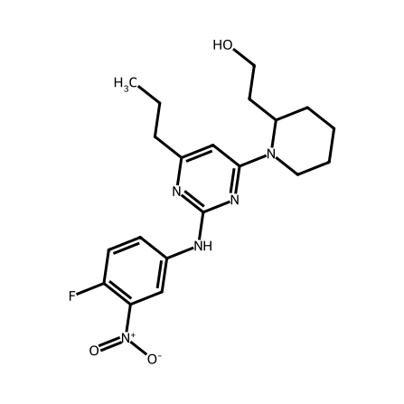 CCCc1cc(N2CCCCC2CCO)nc(Nc2ccc(F)c([N+](=O)[O-])c2)n1